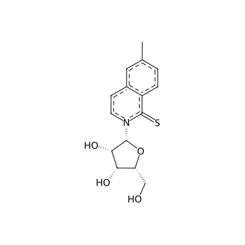 Cc1ccc2c(=S)n([C@@H]3O[C@H](CO)[C@H](O)[C@@H]3O)ccc2c1